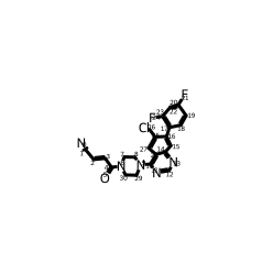 N#CC=CC(=O)N1CCN(c2ncnc3cc(-c4ccc(F)cc4F)c(Cl)cc23)CC1